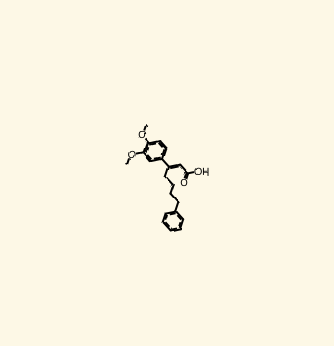 COc1ccc(C(=CC(=O)O)CCCCc2ccccc2)cc1OC